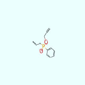 C#CCOP(=O)(CC=C)c1ccccc1